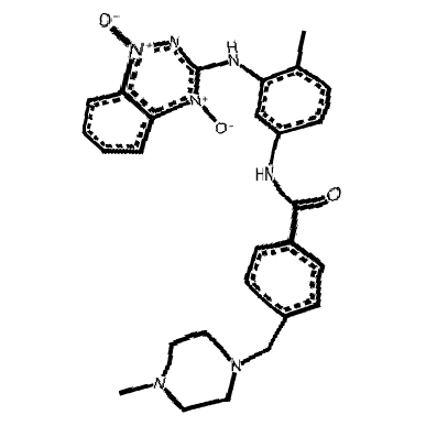 Cc1ccc(NC(=O)c2ccc(CN3CCN(C)CC3)cc2)cc1Nc1n[n+]([O-])c2ccccc2[n+]1[O-]